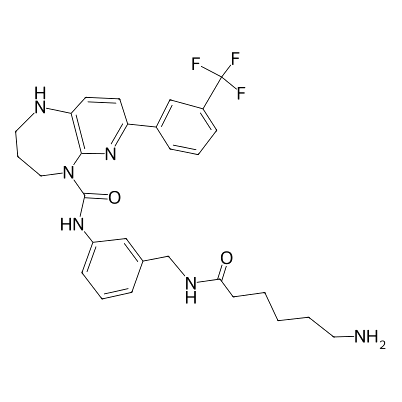 NCCCCCC(=O)NCc1cccc(NC(=O)N2CCCNc3ccc(-c4cccc(C(F)(F)F)c4)nc32)c1